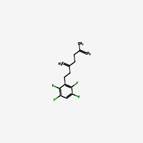 C=C(C)CCC(=C)CCc1c(F)c(F)cc(F)c1F